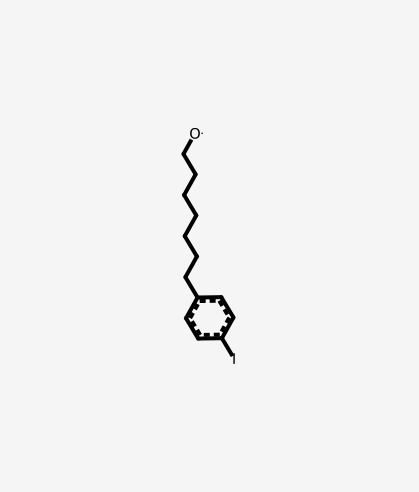 [O]CCCCCCCc1ccc(I)cc1